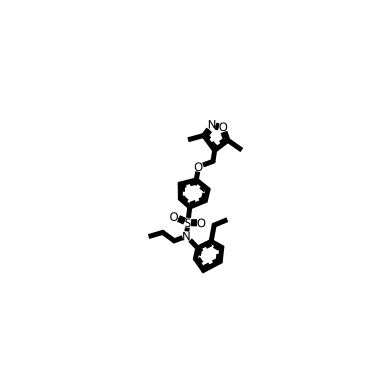 CCCN(c1ccccc1CC)S(=O)(=O)c1ccc(OCc2c(C)noc2C)cc1